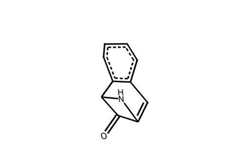 O=C1C2=Cc3ccccc3C1N2